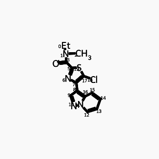 CCN(C)C(=O)c1nc(-c2cnn3ccccc23)c(Cl)s1